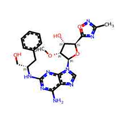 Cc1noc([C@H]2O[C@@H](n3cnc4c(N)nc(N[C@H](CO)Cc5ccccc5)nc43)[C@H](OC=O)[C@@H]2O)n1